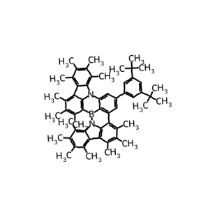 Cc1c(C)c(C)c2c(c1C)c1c(C)c(C)c(C)c3c1n2B1c2c-3cc(-c3cc(C(C)(C)C)cc(C(C)(C)C)c3)cc2-n2c3c(C)c(C)c(C)c(C)c3c3c(C)c(C)c(C)c1c32